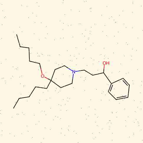 CCCCCOC1(CCCCC)CCN(CCC(O)c2ccccc2)CC1